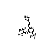 FC(F)(F)c1ccc(C=CC2CNC2)nc1.O=C(O)C(F)(F)F